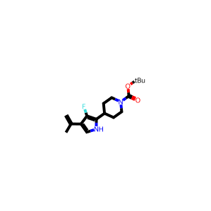 C=C(C)c1c[nH]c(C2CCN(C(=O)OC(C)(C)C)CC2)c1F